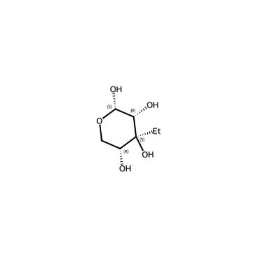 CC[C@]1(O)[C@H](O)CO[C@H](O)[C@@H]1O